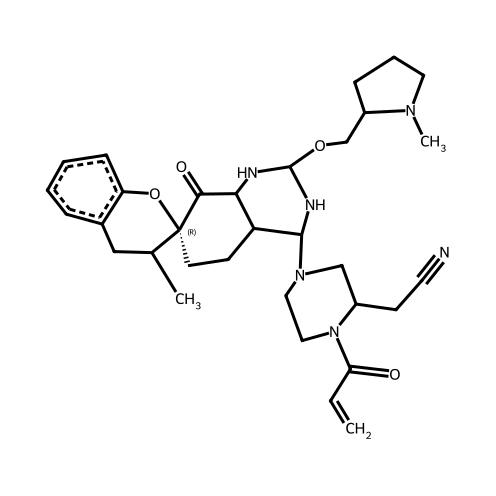 C=CC(=O)N1CCN(C2NC(OCC3CCCN3C)NC3C(=O)[C@]4(CCC32)Oc2ccccc2CC4C)CC1CC#N